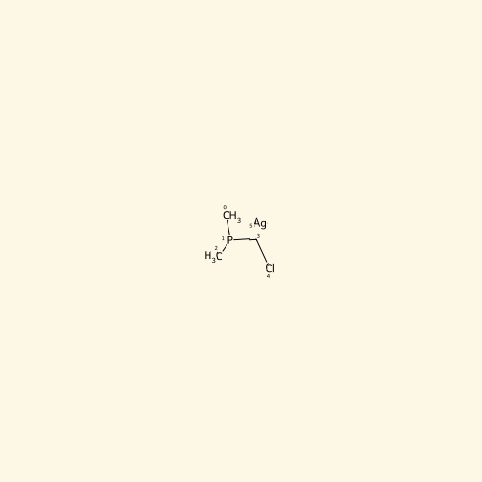 CP(C)CCl.[Ag]